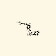 CC(C)[C@H]1CN(c2cc(F)c(C=NNC(N)=S)cc2F)CCN1Cc1ccccc1